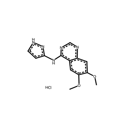 COc1cc2ncnc(Nc3cc[nH]n3)c2cc1OC.Cl